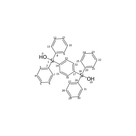 O[Si](c1ccccc1)(c1ccccc1)c1ccc([Si](O)(c2ccccc2)c2ccccc2)cc1